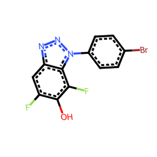 Oc1c(F)cc2nnn(-c3ccc(Br)cc3)c2c1F